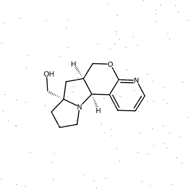 OC[C@@]12CCCN1[C@@H]1c3cccnc3OC[C@@H]1C2